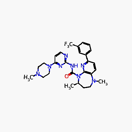 C[C@@H]1CCN(C)c2ccc(-c3cccc(C(F)(F)F)c3)nc2N1C(=O)Nc1nccc(N2CCN(C)CC2)n1